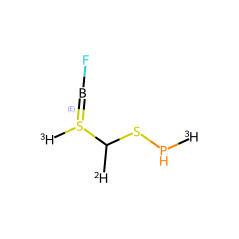 [2H]C(SP[3H])/S([3H])=B/F